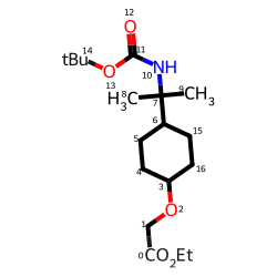 CCOC(=O)COC1CCC(C(C)(C)NC(=O)OC(C)(C)C)CC1